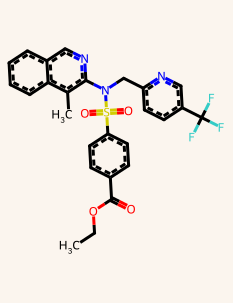 CCOC(=O)c1ccc(S(=O)(=O)N(Cc2ccc(C(F)(F)F)cn2)c2ncc3ccccc3c2C)cc1